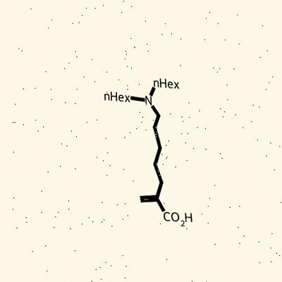 C=C(CCCCCN(CCCCCC)CCCCCC)C(=O)O